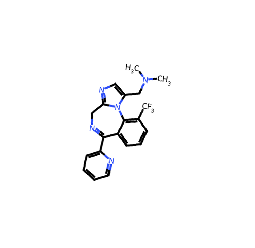 CN(C)Cc1cnc2n1-c1c(cccc1C(F)(F)F)C(c1ccccn1)=NC2